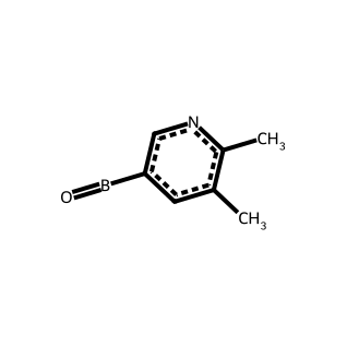 Cc1cc(B=O)cnc1C